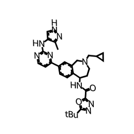 Cc1n[nH]cc1Nc1nccc(-c2ccc3c(c2)CN(CC2CC2)CCC3NC(=O)c2nnc(C(C)(C)C)o2)n1